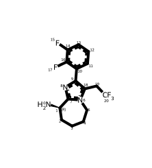 N[C@@H]1CCCCn2c1nc(-c1cccc(F)c1F)c2CC(F)(F)F